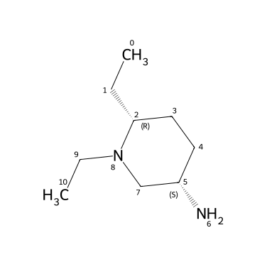 CC[C@@H]1CC[C@H](N)CN1CC